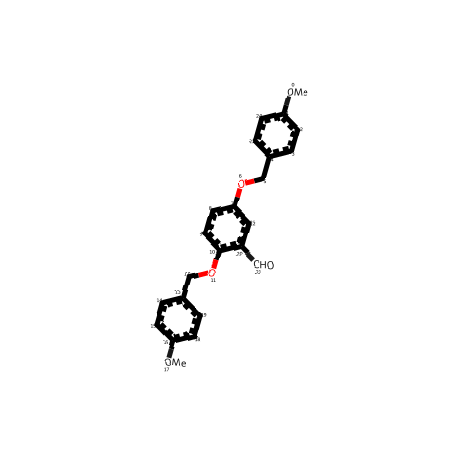 COc1ccc(COc2ccc(OCc3ccc(OC)cc3)c(C=O)c2)cc1